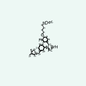 Br.CCCCCCCCCCCCCCOc1ccc(CN(C(C)=O)c2cccc(CN3C=C(C)SC3)c2)cc1F